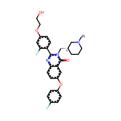 CC(C)N1CCC[C@H](Cn2c(-c3ccc(OCCO)cc3F)nc3ccc(Oc4ccc(F)cc4)cc3c2=O)C1